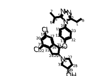 CCc1nnc(C(C)C)n1-c1ccc(O[C@@H]2c3cc(Cl)cc(Cl)c3C[C@@H]2N2CC[C@@H](O)C2)cc1